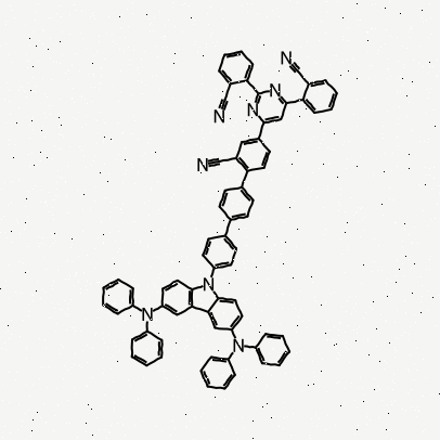 N#Cc1cc(-c2cc(-c3ccccc3C#N)nc(-c3ccccc3C#N)n2)ccc1-c1ccc(-c2ccc(-n3c4ccc(N(c5ccccc5)c5ccccc5)cc4c4cc(N(c5ccccc5)c5ccccc5)ccc43)cc2)cc1